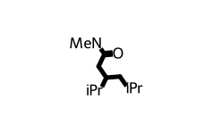 CNC(=O)CC(CC(C)C)C(C)C